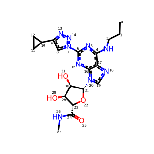 CCCNc1nc(-n2cc(C3CC3)nn2)nc2c1ncn2[C@@H]1O[C@H](C(=O)NC)[C@@H](O)[C@H]1O